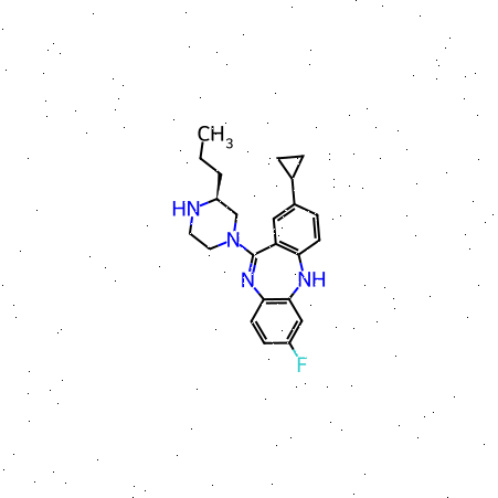 CCC[C@H]1CN(C2=Nc3ccc(F)cc3Nc3ccc(C4CC4)cc32)CCN1